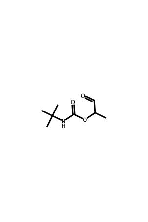 CC(C=O)OC(=O)NC(C)(C)C